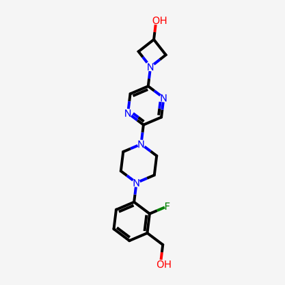 OCc1cccc(N2CCN(c3cnc(N4CC(O)C4)cn3)CC2)c1F